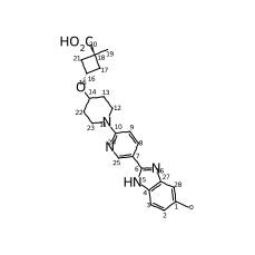 Cc1ccc2[nH]c(-c3ccc(N4CCC(O[C@H]5C[C@](C)(C(=O)O)C5)CC4)nc3)nc2c1